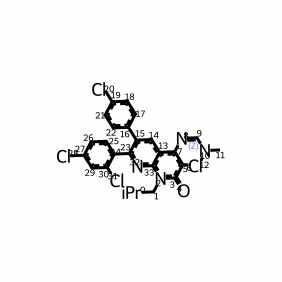 CC(C)Cn1c(=O)c(Cl)c(/N=C\N(C)C)c2cc(-c3ccc(Cl)cc3)c(-c3ccc(Cl)cc3Cl)nc21